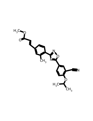 COC(=O)/C=C/c1ccc(-c2noc(-c3ccc(OC(C)C)c(C#N)c3)n2)c(C)c1